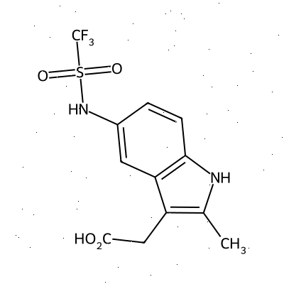 Cc1[nH]c2ccc(NS(=O)(=O)C(F)(F)F)cc2c1CC(=O)O